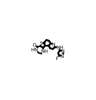 O=C1NCCNc2c1sc1ccc3nc(Nc4cc(F)ncn4)ccc3c21